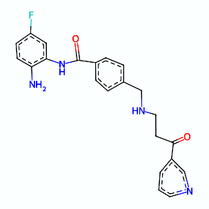 Nc1ccc(F)cc1NC(=O)c1ccc(CNCCC(=O)c2cccnc2)cc1